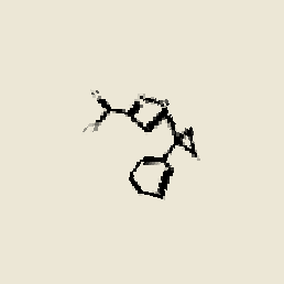 O=C(Cl)c1cc(C2(c3ccccc3)CC2)on1